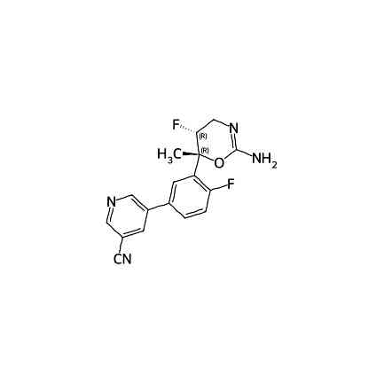 C[C@]1(c2cc(-c3cncc(C#N)c3)ccc2F)OC(N)=NC[C@H]1F